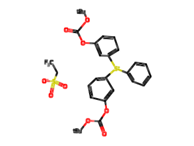 CC(C)(C)OC(=O)Oc1cccc([S+](c2ccccc2)c2cccc(OC(=O)OC(C)(C)C)c2)c1.O=S(=O)([O-])CC(F)(F)F